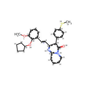 COc1cccc(/C=C/c2nc3ccccn3c(=O)c2-c2ccc(SC)cc2)c1OC1CCCC1